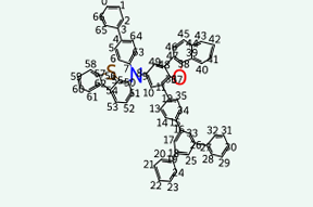 c1ccc(-c2ccc(N(c3cc(-c4ccc(-c5cc(-c6ccccc6)cc(-c6ccccc6)c5)cc4)c4oc5c6ccccc6ccc5c4c3)c3cccc4c3sc3ccccc34)cc2)cc1